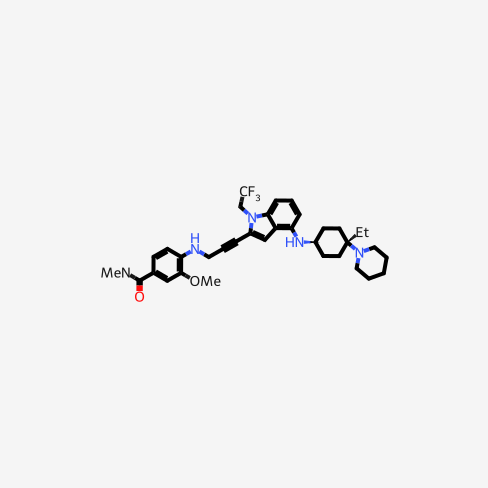 CC[C@]1(N2CCCCC2)CC[C@H](Nc2cccc3c2cc(C#CCNc2ccc(C(=O)NC)cc2OC)n3CC(F)(F)F)CC1